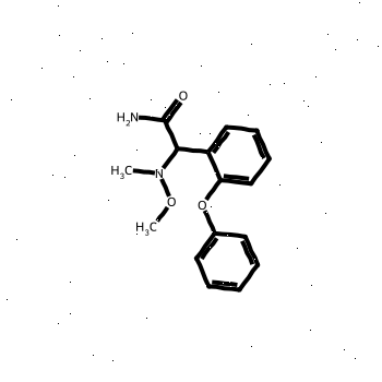 CON(C)C(C(N)=O)c1ccccc1Oc1ccccc1